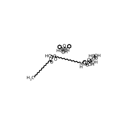 CCCCCCCCCCCCCCCC(=O)OCC(CO)OC(=O)CCCCCCCCCCCCCCCNc1ccn([C@H]2O[C@H](COP(=O)(O)O)[C@@H](O)[C@@H]2O)c(=O)n1.O=C(NC1CCCCC1)N(C1CCCCC1)P(=O)(O)O